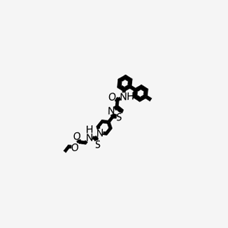 CCOC(=O)CNC(=S)N1CCC(c2nc(C(=O)Nc3ccccc3-c3ccc(C)cc3)cs2)CC1